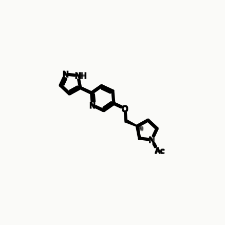 CC(=O)N1CC[C@H](COc2ccc(-c3ccn[nH]3)nc2)C1